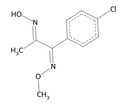 CON=C(C(C)=NO)c1ccc(Cl)cc1